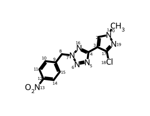 Cn1cc(-c2nnn(Cc3ccc([N+](=O)[O-])cc3)n2)c(Cl)n1